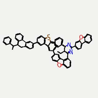 CCC1C(c2cccc3oc4ccc(-c5ccc6sc7ccc(-c8ccc9c(c8)-c8ccccc8C(C(C)c8ccccc8)C9)cc7c6c5)cc4c23)=NC(c2ccc3c(c2)oc2ccccc23)=NC1c1ccccc1